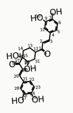 O=C(C=Cc1ccc(O)c(O)c1)C1CC[C@@](O)(C(=O)C=Cc2ccc(O)c(O)c2)[C@H](O)C1